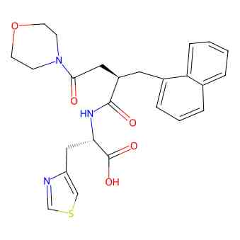 O=C(N[C@@H](Cc1cscn1)C(=O)O)[C@@H](CC(=O)N1CCOCC1)Cc1cccc2ccccc12